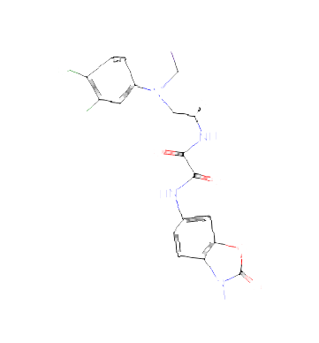 C[C@H](CN(CI)c1ccc(Cl)c(F)c1)NC(=O)C(=O)Nc1ccc2[nH]c(=O)oc2c1